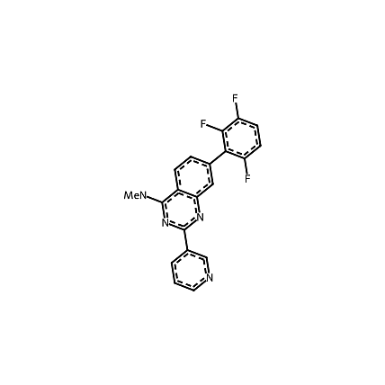 CNc1nc(-c2cccnc2)nc2cc(-c3c(F)ccc(F)c3F)ccc12